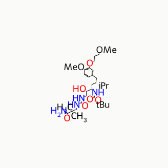 COCCCOc1cc(C[C@@H](C[C@H](NC(=O)OC(C)(C)C)[C@@H](O)CNC(=O)NCC(C)(C)C(N)=O)C(C)C)ccc1OC